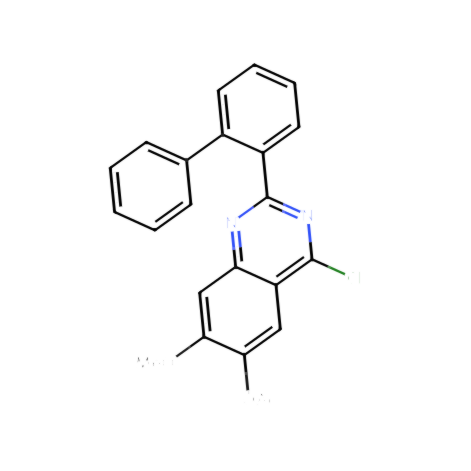 COc1cc2nc(-c3ccccc3-c3ccccc3)nc(Cl)c2cc1OC(C)=O